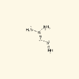 N=CC=C(N)N